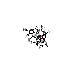 CC(F)(F)c1c(C#N)cc(C#N)c(C(F)(F)F)c1/C(C#N)=C1/C(=C(/C#N)c2c(C(F)(F)F)c(C#N)cc(C#N)c2C(F)(F)F)C1C(C)(C#N)c1c(C(F)(F)F)c(C#N)cc(C#N)c1C(F)(F)F